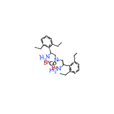 CCc1cccc(CC)c1C(N)C[N](CC(N)c1c(CC)cccc1CC)[Co]([Br])[Br]